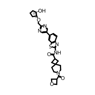 O=C(Nc1nc2ccc(-c3cnc(CO[C@H]4CCC[C@@H]4O)nc3)cc2s1)C1CC2(CCN(C(=O)C3COC3)CC2)C1